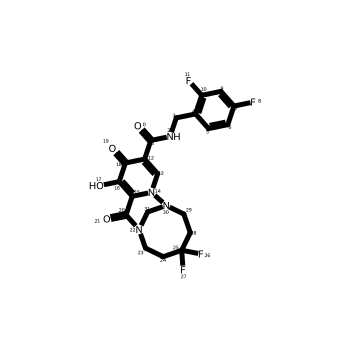 O=C(NCc1ccc(F)cc1F)c1cn2c(c(O)c1=O)C(=O)N1CCC(F)(F)CCN2C1